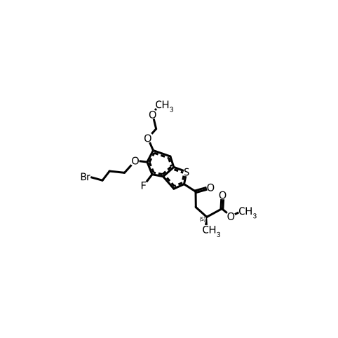 COCOc1cc2sc(C(=O)C[C@H](C)C(=O)OC)cc2c(F)c1OCCCBr